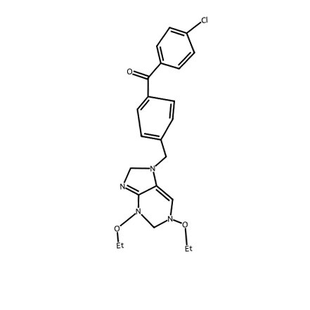 CCON1C=C2C(=NCN2Cc2ccc(C(=O)c3ccc(Cl)cc3)cc2)N(OCC)C1